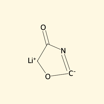 O=C1CO[C-]=N1.[Li+]